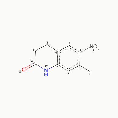 Cc1cc2c(cc1[N+](=O)[O-])CCC(=O)N2